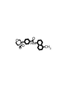 Cc1cccc2c(NC(=O)c3ccc(N4COCCS4(=O)=O)cc3)cccc12